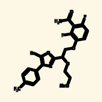 COCCOC(COc1ccc(F)c(C(N)=O)c1F)c1nc(-c2ccc(C(F)(F)F)cc2)c(Br)o1